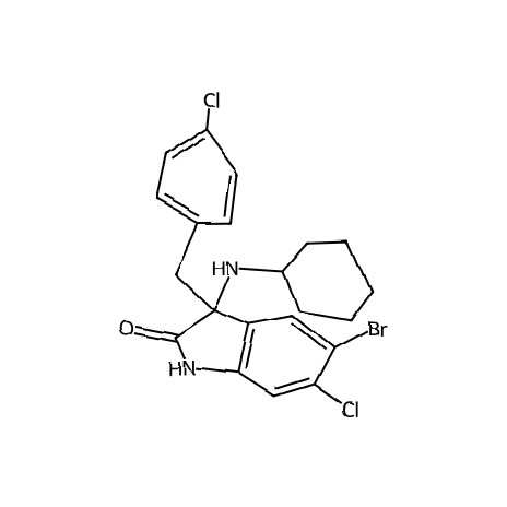 O=C1Nc2cc(Cl)c(Br)cc2C1(Cc1ccc(Cl)cc1)NC1CCCCC1